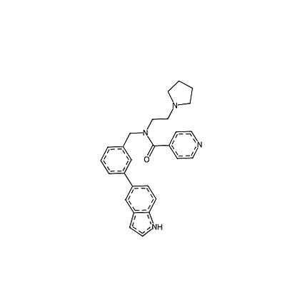 O=C(c1ccncc1)N(CCN1CCCC1)Cc1cccc(-c2ccc3[nH]ccc3c2)c1